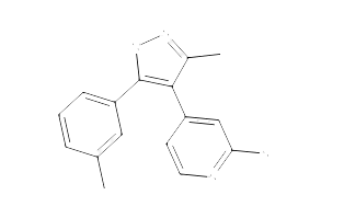 Cc1cccc(-c2[nH]nc(C)c2-c2ccnc(N)c2)c1